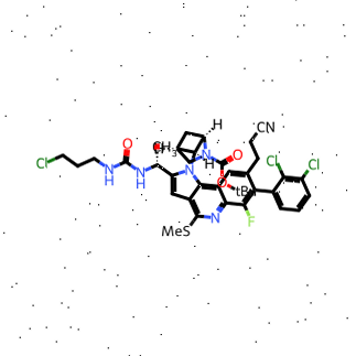 CSc1nc2c(F)c(-c3cccc(Cl)c3Cl)c(CCC#N)cc2c2c1cc([C@@H](C)NC(=O)NCCCCl)n2[C@H]1[C@@H]2C[C@H]1N(C(=O)OC(C)(C)C)C2